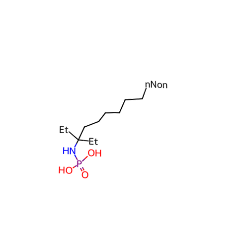 CCCCCCCCCCCCCCCC(CC)(CC)NP(=O)(O)O